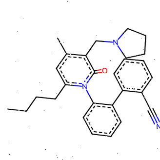 CCCCc1cc(C)c(CN2CCCC2)c(=O)n1-c1ccccc1-c1ccccc1C#N